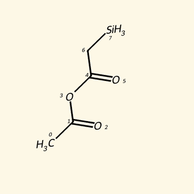 CC(=O)OC(=O)C[SiH3]